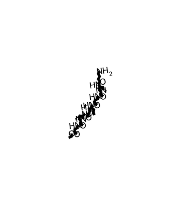 CCOC(=O)CCNC(=O)c1nc(NC(=O)c2cc(NC(=O)CCNC(=O)c3nc(NC(=O)CCCN)cn3C)cn2C)cn1C